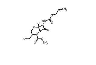 BOC(=O)C1=C(CCl)CO[C@@H]2[C@H](NC(=O)OCC=C)C(=O)N12